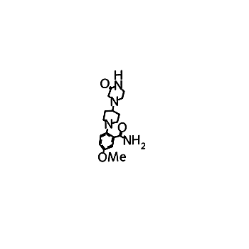 COc1ccc(N2CCC(N3CCNC(=O)C3)CC2)c(C(N)=O)c1